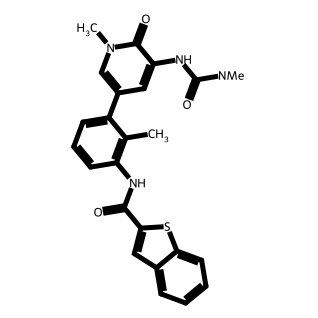 CNC(=O)Nc1cc(-c2cccc(NC(=O)c3cc4ccccc4s3)c2C)cn(C)c1=O